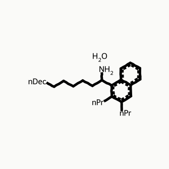 CCCCCCCCCCCCCCCC(N)c1c(CCC)c(CCC)cc2ccccc12.O